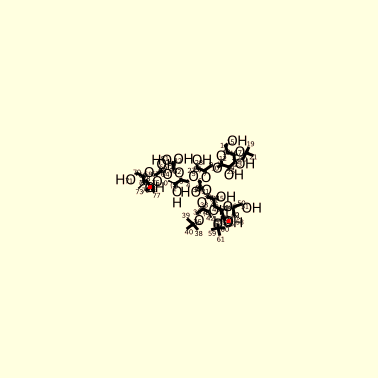 C[C@H](O)C(COC(OC(COC1OC(CO)C(OC(C)(C)C)C(O)C1O)[C@H](C)O)[C@@H](O)OC(OC(COC(C)(C)C)[C@H](C)O)[C@H](O)CC(OC(CO)[C@H](C)O)[C@H](O)OC(C)(C)C)OC(O[C@H](O)C(OC(CO)[C@H](C)O)OC(C)(C)C)C(O)O